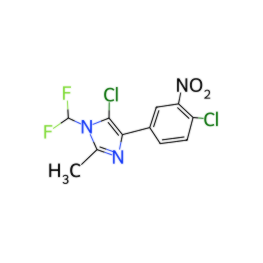 Cc1nc(-c2ccc(Cl)c([N+](=O)[O-])c2)c(Cl)n1C(F)F